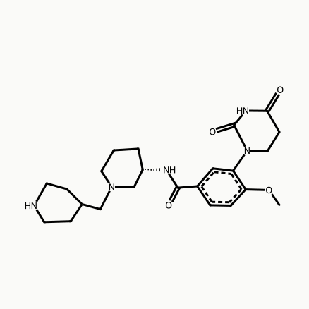 COc1ccc(C(=O)N[C@H]2CCCN(CC3CCNCC3)C2)cc1N1CCC(=O)NC1=O